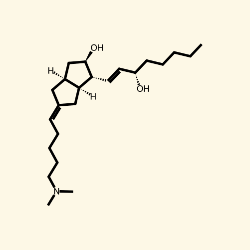 CCCCC[C@H](O)/C=C/[C@@H]1[C@H]2C/C(=C\CCCCN(C)C)C[C@H]2C[C@H]1O